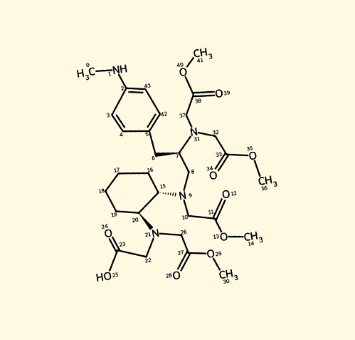 CNc1ccc(C[C@H](CN(CC(=O)OC)[C@H]2CCCC[C@@H]2N(CC(=O)O)CC(=O)OC)N(CC(=O)OC)CC(=O)OC)cc1